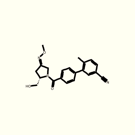 CO/N=C1/C[C@@H](CO)N(C(=O)c2ccc(-c3cc(C#N)ccc3C)cc2)C1